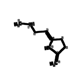 C=C1CC/C(=C/CPC)N1